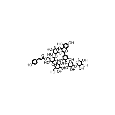 CC1O[C@@H](Oc2c(-c3cc(O)c(O[C@@H]4OC[C@@H](O[C@@H]5O[C@@H](C)[C@H](O)C(O)C5O)C(O)[C@H]4O)c(O)c3)oc3cc(O)cc(O)c3c2=O)C(O[C@@H]2OC(COC(=O)/C=C/c3ccc(O)cc3)[C@@H](O)C(O)C2O[C@@H]2OC(CO)[C@@H](O)C(O)[C@H]2O)[C@@H](O)[C@H]1O